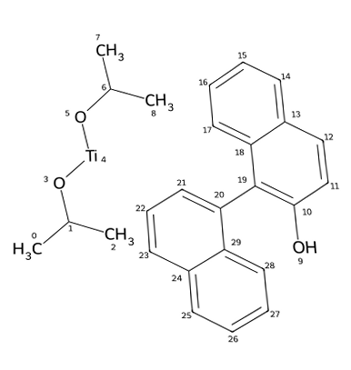 CC(C)[O][Ti][O]C(C)C.Oc1ccc2ccccc2c1-c1cccc2ccccc12